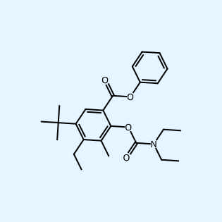 CCc1c(C(C)(C)C)cc(C(=O)Oc2ccccc2)c(OC(=O)N(CC)CC)c1C